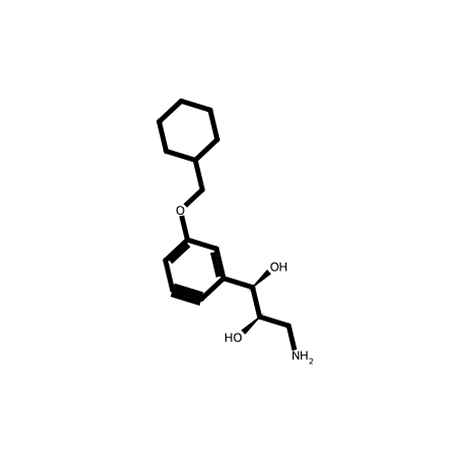 NC[C@@H](O)[C@H](O)c1c#ccc(OCC2CCCCC2)c1